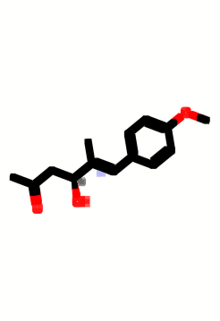 COc1ccc(/C=C(\C)[C@@H](O)CC(C)=O)cc1